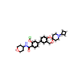 O=C(NC1CCOCC1)c1ccc(-c2ccc3c(c2)COC2(CCN(C4CCC4)CC2)O3)cc1OCl